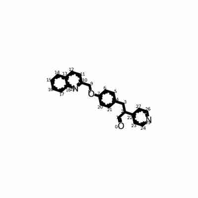 O=CC(Cc1ccc(OCc2ccc3ccccc3n2)cc1)c1ccncc1